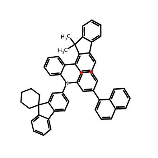 CC1(C)c2ccccc2-c2cccc(-c3ccccc3N(c3cccc(-c4cccc5ccccc45)c3)c3ccc4c(c3)C3(CCCCC3)c3ccccc3-4)c21